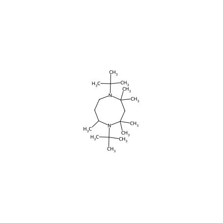 CC1CCN(C(C)(C)C)C(C)(C)CC(C)(C)N1C(C)(C)C